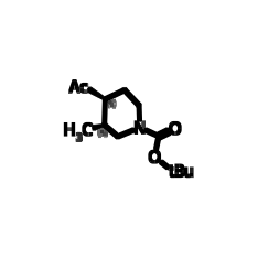 CC(=O)[C@H]1CCN(C(=O)OC(C)(C)C)C[C@H]1C